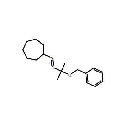 CC(C)(/N=N/C1CCCCCC1)OCc1ccccc1